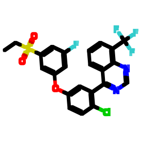 CCS(=O)(=O)c1cc(F)cc(Oc2ccc(Cl)c(-c3ncnc4c(C(F)(F)F)cccc34)c2)c1